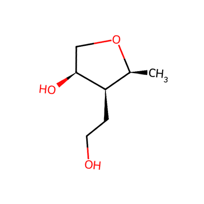 C[C@@H]1OC[C@H](O)[C@@H]1CCO